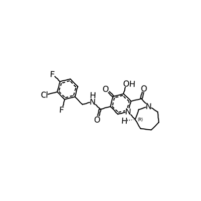 O=C(NCc1ccc(F)c(Cl)c1F)c1cn2c(c(O)c1=O)C(=O)N1CCCC[C@@H]2C1